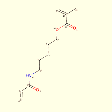 C=CC(=O)NCCCCCOC(=O)C(=C)C